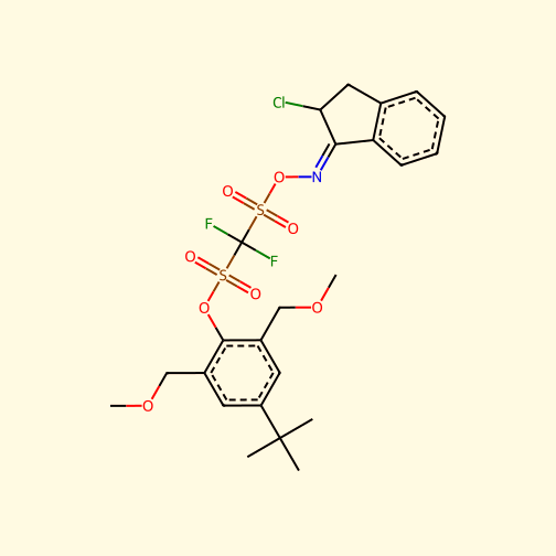 COCc1cc(C(C)(C)C)cc(COC)c1OS(=O)(=O)C(F)(F)S(=O)(=O)O/N=C1/c2ccccc2CC1Cl